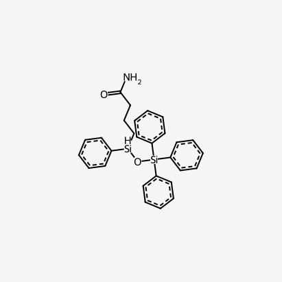 NC(=O)CCC[SiH](O[Si](c1ccccc1)(c1ccccc1)c1ccccc1)c1ccccc1